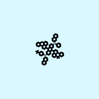 CC(C)(C)c1ccc(N(c2ccc3ccccc3c2)c2ccc3c(-c4ccc5c6c(cccc46)C(C)(C)c4ccccc4-5)c4cc(N(c5ccccc5)c5ccc6ccccc6c5)ccc4c(-c4ccc5c6c(cccc46)Cc4ccccc4-5)c3c2)cc1